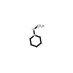 O=C(O)ON1CCCCC1